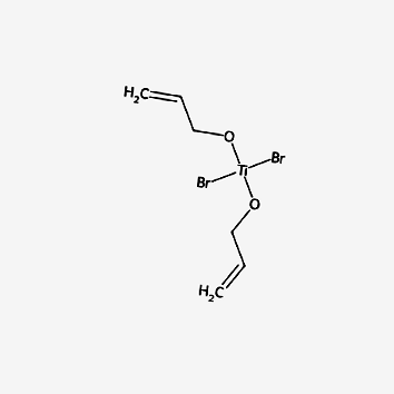 C=CC[O][Ti]([Br])([Br])[O]CC=C